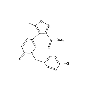 COC(=O)c1noc(C)c1-c1ccc(=O)n(Cc2ccc(Cl)cc2)c1